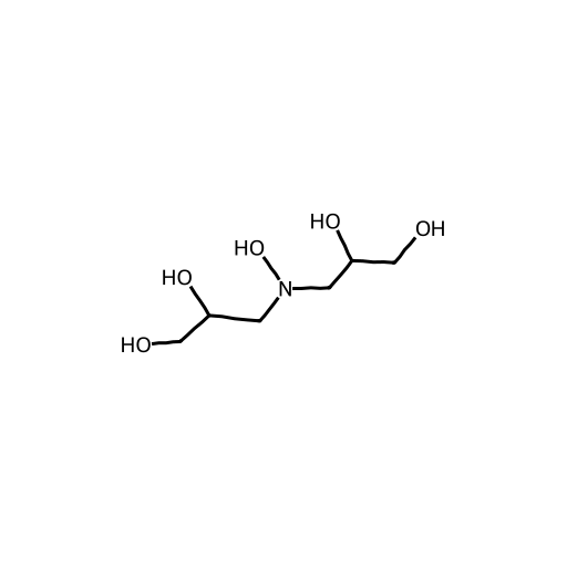 OCC(O)CN(O)CC(O)CO